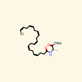 CC/C=C\C/C=C\C/C=C\C/C=C\C/C=C\C/C=C\CCC(=O)N[C@@H](C)C(=O)OC